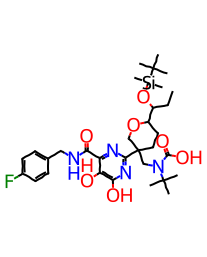 CCC(O[Si](C)(C)C(C)(C)C)C1CCC(CN(C(=O)O)C(C)(C)C)(c2nc(O)c(O)c(C(=O)NCc3ccc(F)cc3)n2)CO1